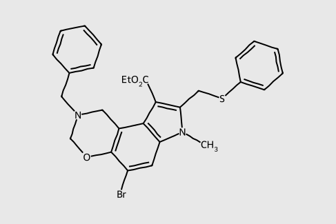 CCOC(=O)c1c(CSc2ccccc2)n(C)c2cc(Br)c3c(c12)CN(Cc1ccccc1)CO3